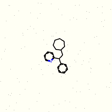 c1ccc(C(CC2CCCCCC2)c2ccccn2)cc1